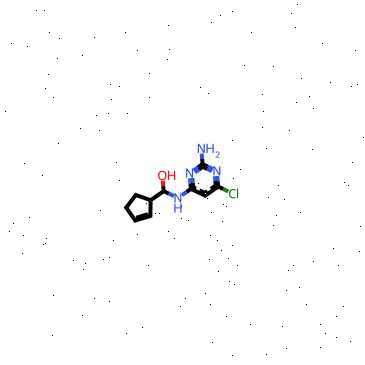 Nc1nc(Cl)cc(NC(O)C2C=CCC2)n1